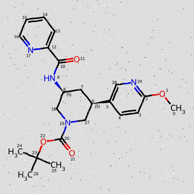 COc1ccc([C@@H]2C[C@H](NC(=O)c3ccccn3)CN(C(=O)OC(C)(C)C)C2)cn1